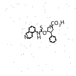 O=C(O)N1CC(OC(=S)Nc2cccc3cnccc23)C(c2ccccc2)C1